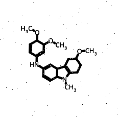 COC1CCC2=C(C1)C1C=C(NC3=CC(OC)C(OC)C=C3)C=CC1N2C